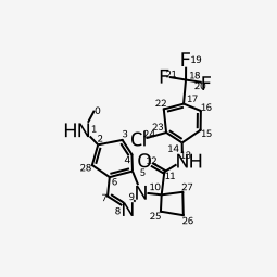 CNc1ccc2c(cnn2C2(C(=O)Nc3ccc(C(F)(F)F)cc3Cl)CCC2)c1